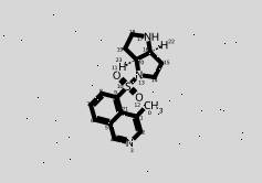 Cc1cncc2cccc(S(=O)(=O)N3CC[C@@H]4NCC[C@@H]43)c12